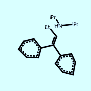 CC(C)NC(C)C.CCC=C(c1ccccc1)c1ccccc1